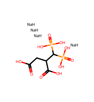 O=C(O)CC(C(=O)O)C(P(=O)(O)O)P(=O)(O)O.[NaH].[NaH].[NaH].[NaH]